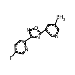 Bc1cncc(-c2nc(-c3ccc(F)cn3)no2)c1